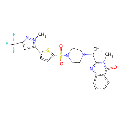 CC(c1nc2ccccc2c(=O)n1C)N1CCN(S(=O)(=O)c2ccc(-c3cc(C(F)(F)F)nn3C)s2)CC1